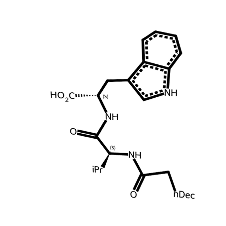 CCCCCCCCCCCC(=O)N[C@H](C(=O)N[C@@H](Cc1c[nH]c2ccccc12)C(=O)O)C(C)C